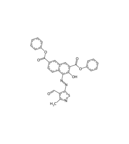 Cc1nsc(/N=N/c2c(O)c(C(=O)Oc3ccccc3)cc3cc(C(=O)Oc4ccccc4)ccc23)c1C=O